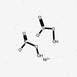 O=[Si]([O-])OO.O=[Si]([O-])OO.[Ni+2]